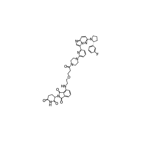 O=C1CCC(N2C(=O)c3cccc(NCCOCCC(=O)N4CCN(c5cccc(-c6cnc7ccc(N8CCC[C@@H]8c8cccc(F)c8)nn67)n5)CC4)c3C2=O)C(=O)N1